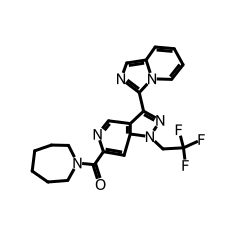 O=C(c1cc2c(cn1)c(-c1ncc3ccccn13)nn2CC(F)(F)F)N1CCCCCC1